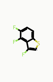 Fc1ccc2s[c]c(F)c2c1F